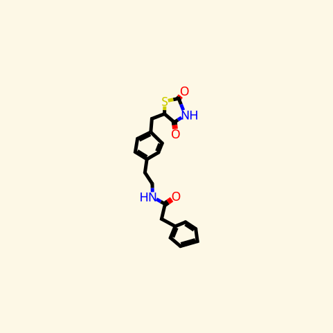 O=C(Cc1ccccc1)NCCc1ccc(CC2SC(=O)NC2=O)cc1